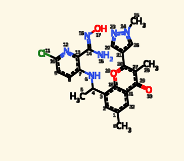 Cc1cc(C(C)Nc2ccc(Cl)nc2C(N)=NO)c2oc(-c3cnn(C)c3)c(C)c(=O)c2c1